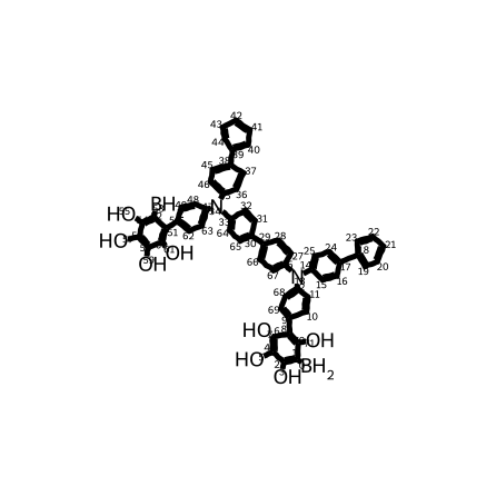 Bc1c(O)c(O)c(O)c(-c2ccc(N(c3ccc(-c4ccccc4)cc3)c3ccc(-c4ccc(N(c5ccc(-c6ccccc6)cc5)c5ccc(-c6c(B)c(O)c(O)c(O)c6O)cc5)cc4)cc3)cc2)c1O